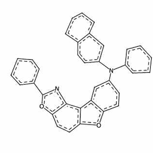 c1ccc(-c2nc3c(ccc4oc5ccc(N(c6ccccc6)c6ccc7ccccc7c6)cc5c43)o2)cc1